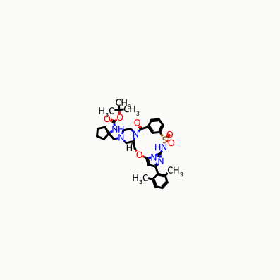 Cc1cccc(C)c1-c1cc2nc(n1)NS(=O)(=O)c1cccc(c1)C(=O)N1CCN(CC3(NC(=O)OC(C)(C)C)CCCC3)C[C@@H]1CO2